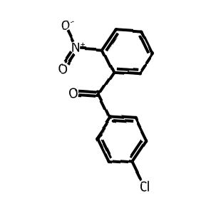 O=C(c1ccc(Cl)cc1)c1ccccc1[N+](=O)[O-]